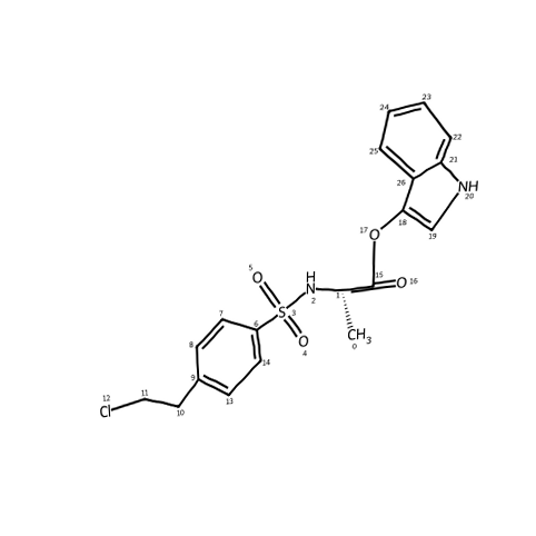 C[C@H](NS(=O)(=O)c1ccc(CCCl)cc1)C(=O)Oc1c[nH]c2ccccc12